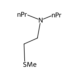 CCCN(CCC)CCSC